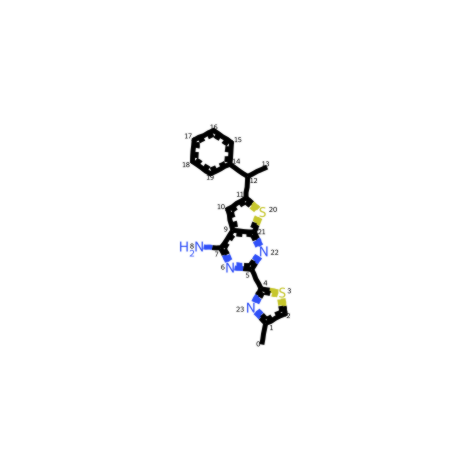 Cc1csc(-c2nc(N)c3cc(C(C)c4ccccc4)sc3n2)n1